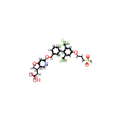 CS(=O)(=O)CCCOc1cc(C(F)(F)F)c(-c2cccc(COc3cc4c(cn3)C(CC(=O)O)CO4)c2)c(C(F)(F)F)c1